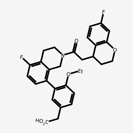 CCOc1ccc(CC(=O)O)cc1-c1ccc(F)c2c1CN(C(=O)CC1CCOc3cc(F)ccc31)CC2